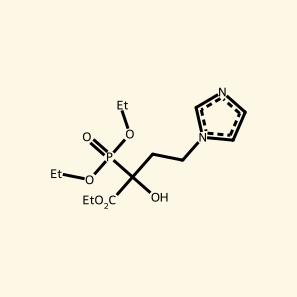 CCOC(=O)C(O)(CCn1ccnc1)P(=O)(OCC)OCC